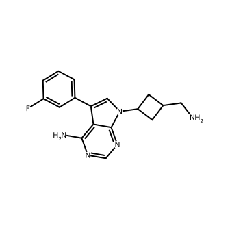 NCC1CC(n2cc(-c3cccc(F)c3)c3c(N)ncnc32)C1